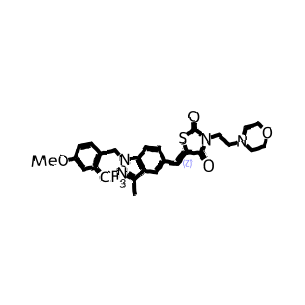 COc1ccc(Cn2nc(C)c3cc(/C=C4\SC(=O)N(CCN5CCOCC5)C4=O)ccc32)c(C(F)(F)F)c1